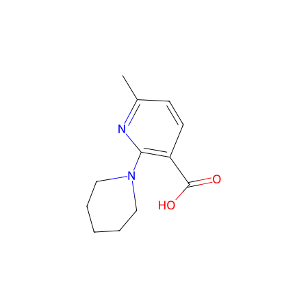 Cc1ccc(C(=O)O)c(N2CCCCC2)n1